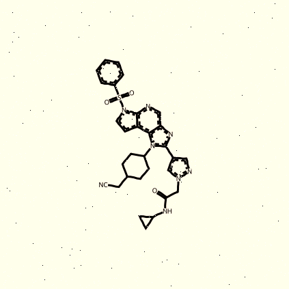 N#CCC1CCC(n2c(-c3cnn(CC(=O)NC4CC4)c3)nc3cnc4c(ccn4S(=O)(=O)c4ccccc4)c32)CC1